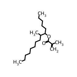 C=C(C)C(=O)OC(CCCCC)C(C)CCCCCCCC